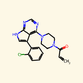 C=CC(=O)N1CCN(c2ncnc3[nH]cc(-c4ccccc4Cl)c23)CC1